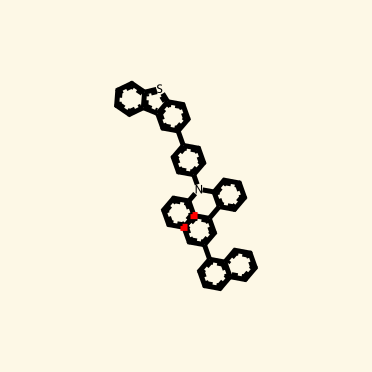 c1ccc(N(c2ccc(-c3ccc4sc5ccccc5c4c3)cc2)c2ccccc2-c2cccc(-c3cccc4ccccc34)c2)cc1